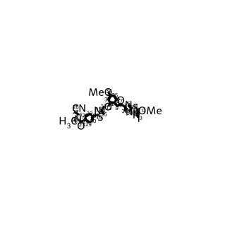 COC(=NI)Sc1nc(-c2cc3c(OCc4csc(-c5ccc(C(=O)N(C)CCC#N)cc5)n4)cc(OC)cc3o2)c[nH]1